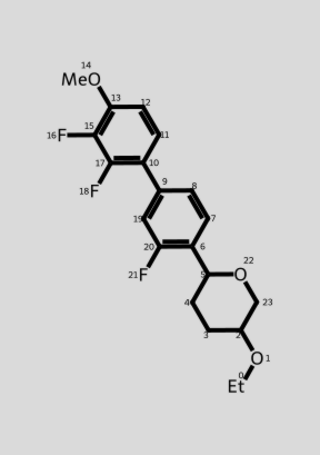 CCOC1CCC(c2ccc(-c3ccc(OC)c(F)c3F)cc2F)OC1